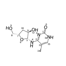 O=c1nc(N[C@@H]2O[C@H](CO)C[C@H]2O)c(I)c[nH]1